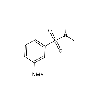 CNc1cccc(S(=O)(=O)N(C)C)c1